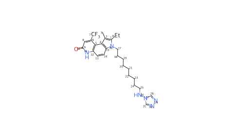 CCc1c(C)c2c3c(C(F)(F)F)cc(=O)[nH]c3ccc2n1CCCCCCCCCNn1cnnc1